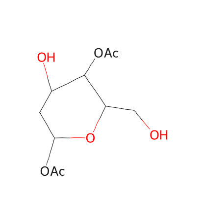 CC(=O)OC1CC(O)C(OC(C)=O)C(CO)O1